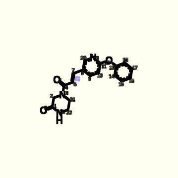 O=C1CN(C(=O)/C=C/c2ccc(Oc3ccccc3)nc2)CCN1